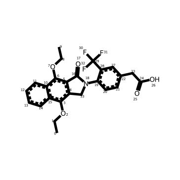 CCOc1c2c(c(OCC)c3ccccc13)C(=O)N(c1ccc(CC(=O)O)cc1C(F)(F)F)C2